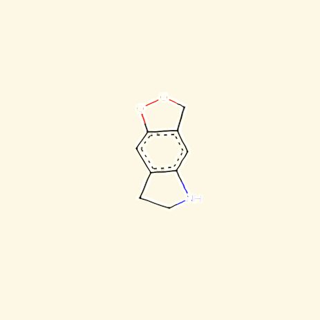 c1c2c(cc3c1NCC3)OOC2